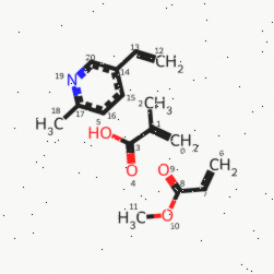 C=C(C)C(=O)O.C=CC(=O)OC.C=Cc1ccc(C)nc1